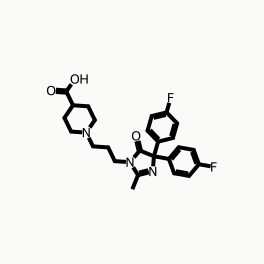 CC1=NC(c2ccc(F)cc2)(c2ccc(F)cc2)C(=O)N1CCCN1CCC(C(=O)O)CC1